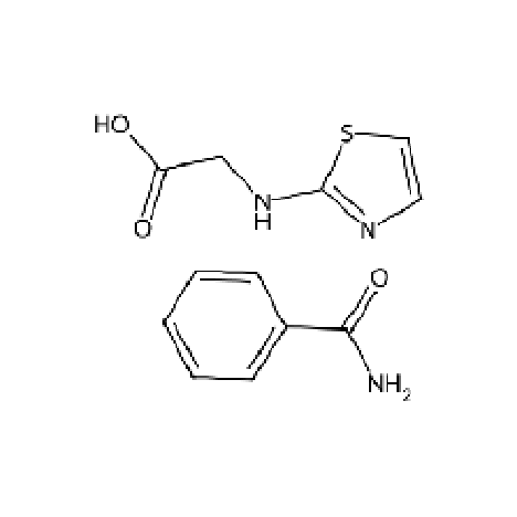 NC(=O)c1ccccc1.O=C(O)CNc1nccs1